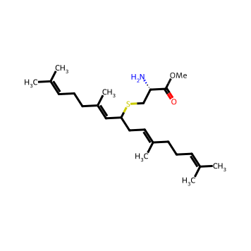 COC(=O)[C@@H](N)CSC(/C=C(\C)CCC=C(C)C)C/C=C(\C)CCC=C(C)C